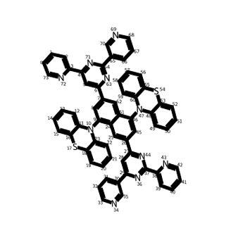 c1ccc(-c2cc(-c3cc(N4c5ccccc5Sc5ccccc54)c4cc(-c5cc(-c6cccnc6)nc(-c6ccccn6)n5)cc(N5c6ccccc6Sc6ccccc65)c4c3)nc(-c3cccnc3)n2)nc1